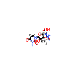 [N-]=[N+]=N[C@]1(CO)O[C@@H](n2ccc(=O)[nH]c2=O)[C@@](O)(C(F)(F)F)C1O